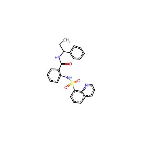 CCC(NC(=O)c1ccccc1NS(=O)(=O)c1cccc2cccnc12)c1ccccc1